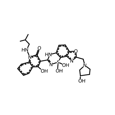 CC(C)CNn1c(=O)c(C2=NS(O)(O)c3c(ccc4oc(CN5CC[C@@H](O)C5)nc34)N2)c(O)c2ccccc21